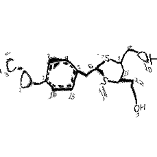 COc1ccc(C2SC(CO)C(CO)S2)cc1